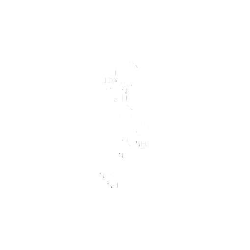 O=C(CNCCc1c[nH]cn1)Nc1cccc(-c2ccc(C[C@H](NS(=O)(=O)c3ccccc3Cl)C(=O)O)cc2)c1